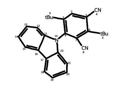 CC(C)(C)c1cc(C#N)c(C(C)(C)C)c(C#N)c1-n1c2ccccc2c2ccccc21